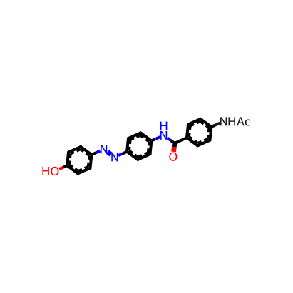 CC(=O)Nc1ccc(C(=O)Nc2ccc(N=Nc3ccc(O)cc3)cc2)cc1